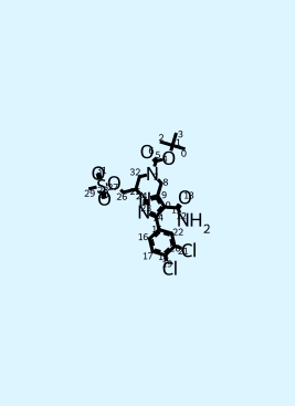 CC(C)(C)OC(=O)N1Cc2c(C(N)=O)c(-c3ccc(Cl)c(Cl)c3)nn2C(COS(C)(=O)=O)C1